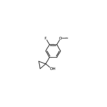 COc1ccc(C2(O)CC2)cc1F